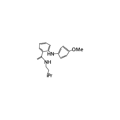 C=C(NCCC(C)C)c1ccccc1Nc1ccc(OC)cc1